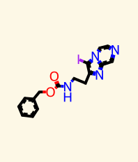 O=C(NCCc1nc2cnccn2c1I)OCc1ccccc1